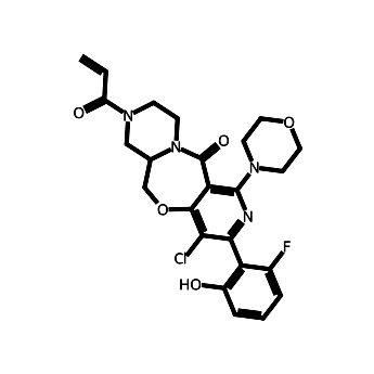 C=CC(=O)N1CCN2C(=O)c3c(N4CCOCC4)nc(-c4c(O)cccc4F)c(Cl)c3OCC2C1